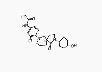 O=C(O)Nc1cnc(N2CCC[C@]3(CCN([C@H]4CC[C@@H](O)CC4)C3=O)C2)c(Cl)c1